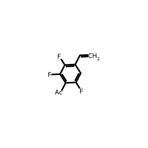 C=Cc1cc(F)c(C(C)=O)c(F)c1F